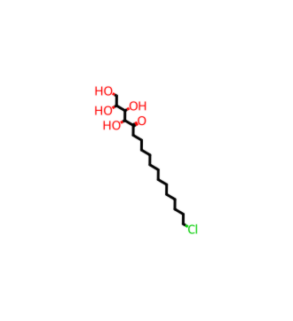 O=C(CCCCCCCCCCCCCCl)C(O)C(O)C(O)CO